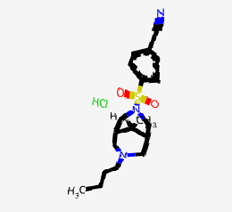 CCCCN1CC2CN(S(=O)(=O)c3ccc(C#N)cc3)CC(C1)C2(C)C.Cl